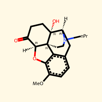 CCCN1CC[C@]23c4c5ccc(OC)c4O[C@H]2C(=O)CC[C@@]3(O)[C@H]1C5